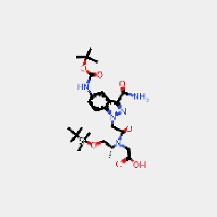 C[C@H](CO[Si](C)(C)C(C)(C)C)N(CC(=O)O)C(=O)Cn1nc(C(N)=O)c2cc(NC(=O)OC(C)(C)C)ccc21